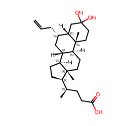 C=CC[C@H]1C[C@@H]2[C@H](CC[C@]3(C)[C@@H]([C@H](C)CCC(=O)O)CC[C@@H]23)[C@@]2(C)CCC(O)(O)C[C@@H]12